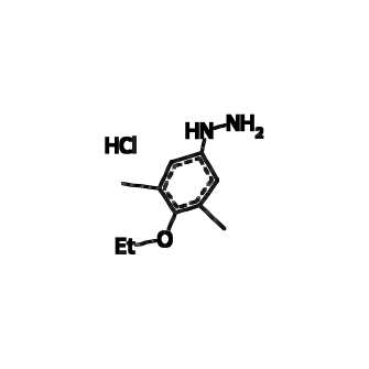 CCOc1c(C)cc(NN)cc1C.Cl